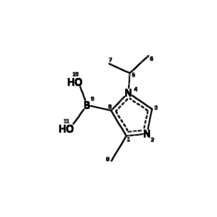 Cc1ncn(C(C)C)c1B(O)O